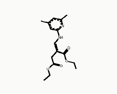 CCOC(=O)CC(=CNc1cc(C)cc(C)n1)C(=O)OCC